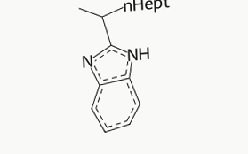 CCCCCCCC(C)c1nc2ccccc2[nH]1